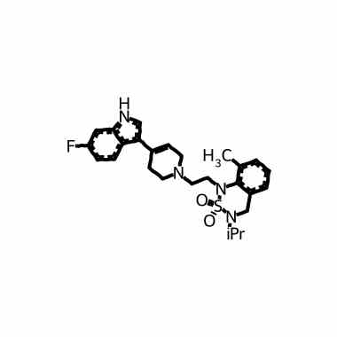 Cc1cccc2c1N(CCN1CC=C(c3c[nH]c4cc(F)ccc34)CC1)S(=O)(=O)N(C(C)C)C2